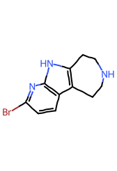 Brc1ccc2c3c([nH]c2n1)CCNCC3